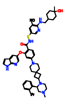 CC(C)c1ccccc1[C@@H]1CN(C)CCN1C1CC2(CCN(c3ccc(C(=O)NSc4cnc(NCC5CCC(C)(O)CC5)c(N=O)c4)c(Oc4cnc5[nH]ccc5c4)c3)CC2)C1